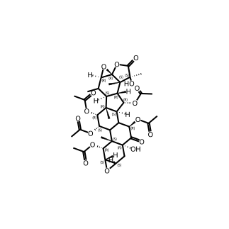 CC(=O)O[C@H]1[C@@H]2[C@H](C(C)[C@H]3O[C@]34OC(=O)[C@@](C)(O)[C@]24C)[C@]2(C)[C@@H]1C1C([C@H](OC(C)=O)[C@@H]2OC(C)=O)[C@@]2(C)[C@@H](OC(C)=O)[C@H]3O[C@H]3C[C@]2(O)C(=O)[C@@H]1OC(C)=O